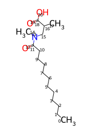 CCCCCCCCCCCC(=O)N(C)CC(C)C(=O)O